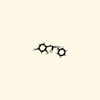 O=C(Cc1ccc(F)cc1F)Nc1ccccc1